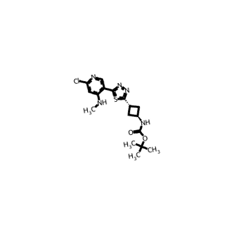 CNc1cc(Cl)ncc1-c1nnc([C@H]2C[C@H](NC(=O)OC(C)(C)C)C2)s1